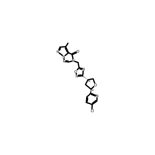 Cc1cnn2ncn(Cc3nc([C@@H]4CO[C@@H](c5ccc(Cl)cn5)C4)no3)c(=O)c12